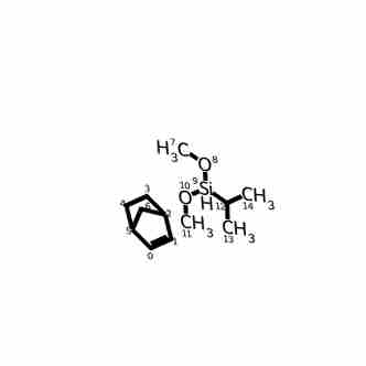 C1=CC2CCC1C2.CO[SiH](OC)C(C)C